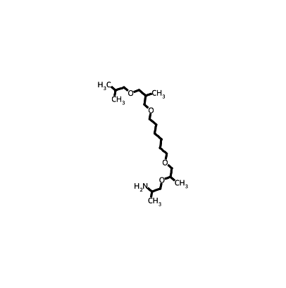 CC(C)COCC(C)COCCCCCCOCC(C)OCC(C)N